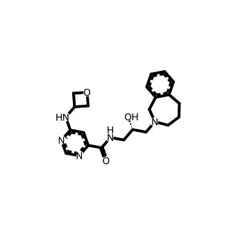 O=C(NC[C@H](O)CN1CCCc2ccccc2C1)c1cc(NC2COC2)ncn1